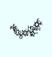 Cc1nsc(Nc2cnc(C(=O)N3CCN(CC(F)(F)F)CC3)cn2)c1C(=O)Nc1ccc(F)c(F)c1